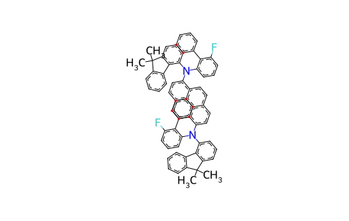 CC1(C)c2ccccc2-c2c(N(c3cccc(F)c3-c3ccccc3)c3ccc4ccc5c(N(c6cccc(F)c6-c6ccccc6)c6cccc7c6-c6ccccc6C7(C)C)ccc6ccc3c4c65)cccc21